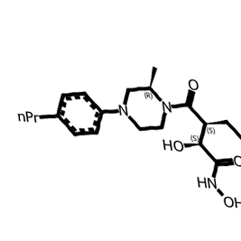 CCCc1ccc(N2CCN(C(=O)[C@@H](CC(C)C)[C@H](O)C(=O)NO)[C@H](C)C2)cc1